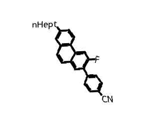 CCCCCCCc1ccc2c(ccc3cc(-c4ccc(C#N)cc4)c(F)cc32)c1